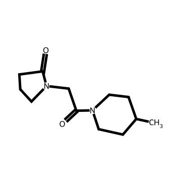 CC1CCN(C(=O)CN2CCCC2=O)CC1